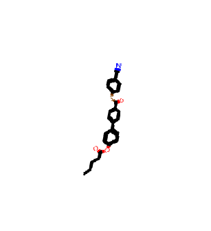 CCCCC(=O)Oc1ccc(-c2ccc(C(=O)Sc3ccc(C#N)cc3)cc2)cc1